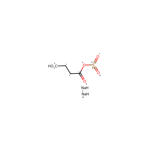 O=C(O)CCC(=O)O[SH](=O)=O.[NaH].[NaH]